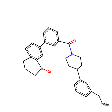 CNCc1cccc(C2CCN(C(=O)c3cccc(-c4ccc5c(c4)B(O)CCC5)c3)CC2)c1